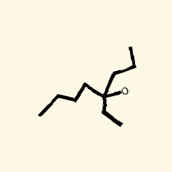 CCCCC([O])(CC)CCC